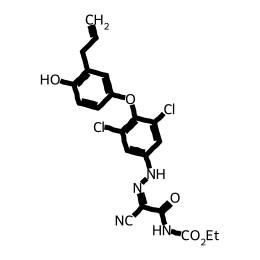 C=CCc1cc(Oc2c(Cl)cc(NN=C(C#N)C(=O)NC(=O)OCC)cc2Cl)ccc1O